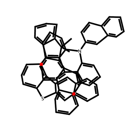 CC1(C)c2ccccc2-c2cccc(-c3ccccc3N(c3ccc4ccccc4c3)c3cccc(-c4cccc5sc6cc7ccccc7cc6c45)c3-c3ccc4ccccc4c3)c21